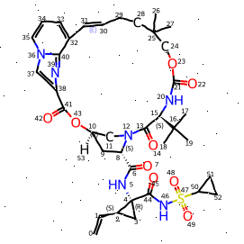 C=C[C@@H]1C[C@]1(NC(=O)[C@@H]1C[C@@H]2CN1C(=O)[C@H](C(C)(C)C)NC(=O)OCC(C)(C)CC/C=C/c1cccn3cc(nc13)C(=O)O2)C(=O)NS(=O)(=O)C1CC1